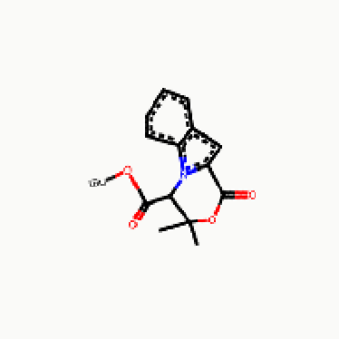 CC(C)(C)OC(=O)C1n2c(cc3ccccc32)C(=O)OC1(C)C